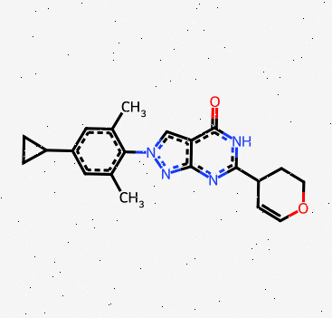 Cc1cc(C2CC2)cc(C)c1-n1cc2c(=O)[nH]c(C3C=COCC3)nc2n1